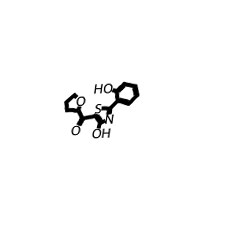 O=C(c1sc(-c2ccccc2O)nc1O)C1CCCO1